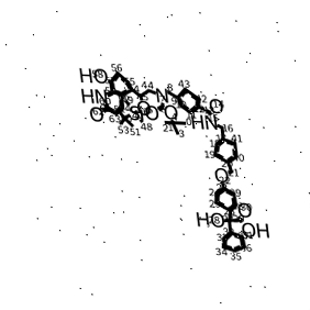 CC(C)(C)OC(=O)N(Cc1ccc(C(=O)NCc2ccc(COc3ccc(C(O)(C(=O)O)c4ccccc4)cc3)cc2)cc1)CC(O[Si](C)(C)C(C)(C)C)c1ccc(O)c2[nH]c(=O)ccc12